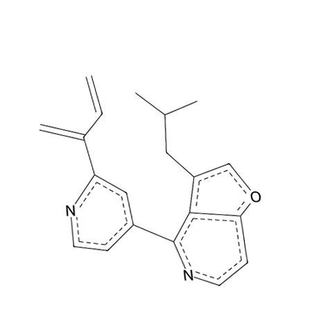 C=CC(=C)c1cc(-c2nccc3occ(CC(C)C)c23)ccn1